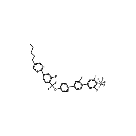 CCCCCc1cnc(-c2ccc(C(F)(F)Oc3ccc(-c4ccc(-c5cc(F)c(S(F)(F)(F)(F)F)c(F)c5)c(F)c4)cc3)c(F)c2)nc1